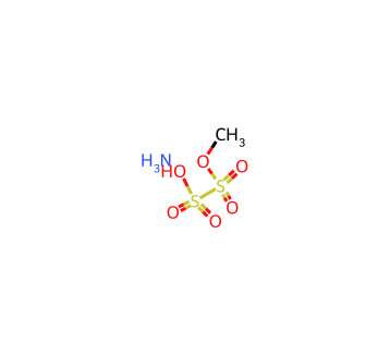 COS(=O)(=O)S(=O)(=O)O.N